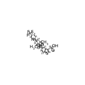 C[C@@H]1CN(c2ccc(C(F)(F)F)cn2)C[C@H](C)N1S(=O)(=O)c1ccc2scc(CC(=O)O)c2c1